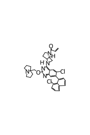 C=CC(=O)N1CC[C@H]2[C@H]1CN2c1nc(OCC23CCCN2CCC3)nc2cc(-c3cccc4cccc(Cl)c34)c(Cl)cc12